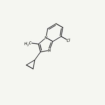 Cc1c(C2CC2)nc2c(Cl)cccn12